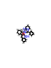 CC1(C(=O)NCC(c2ccccc2)N2CCCCC2)CCCCC1C1=Cc2ccccc2NC1